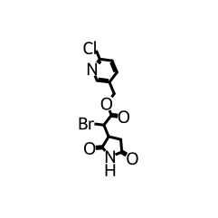 O=C1CC(C(Br)C(=O)OCc2ccc(Cl)nc2)C(=O)N1